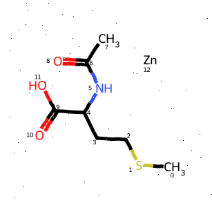 CSCCC(NC(C)=O)C(=O)O.[Zn]